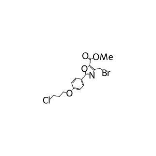 COC(=O)c1oc(-c2ccc(OCCCCl)cc2)nc1CBr